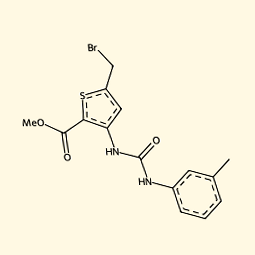 COC(=O)c1sc(CBr)cc1NC(=O)Nc1cccc(C)c1